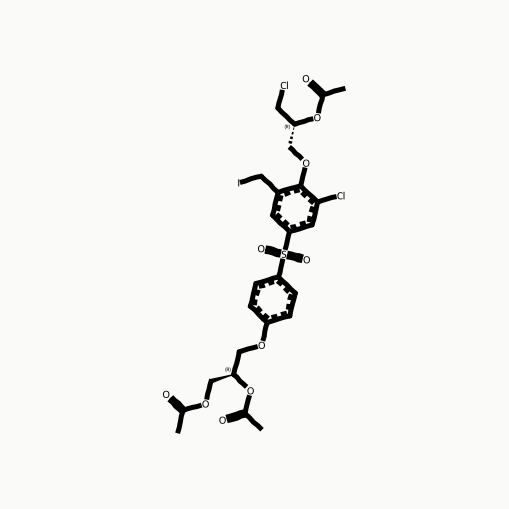 CC(=O)OC[C@@H](COc1ccc(S(=O)(=O)c2cc(Cl)c(OC[C@H](CCl)OC(C)=O)c(CI)c2)cc1)OC(C)=O